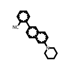 N#Cc1ccccc1-c1ccc2cc(N3CCCCC3)ccc2c1